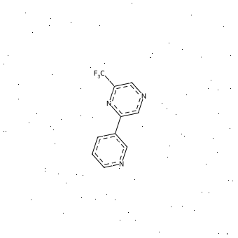 FC(F)(F)c1cncc(-c2cccnc2)n1